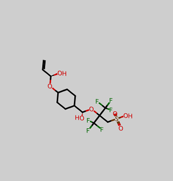 C=C[C@@H](O)OC1CCC([C@@H](O)OC(CS(=O)(=O)O)(C(F)(F)F)C(F)(F)F)CC1